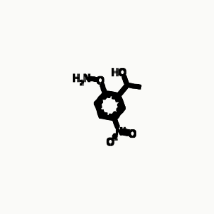 CC(O)c1cc([N+](=O)[O-])ccc1ON